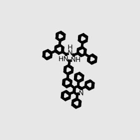 c1ccc(-c2cc(-c3ccccc3)cc(C3NC(c4ccc(-c5cccc(-c6c(-c7ccccc7)c(-c7ccccc7)nc(-c7ccccc7)c6-c6ccccc6)c5)cc4)NC(c4cc(-c5ccccc5)cc(-c5ccccc5)c4)N3)c2)cc1